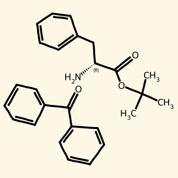 CC(C)(C)OC(=O)[C@H](N)Cc1ccccc1.O=C(c1ccccc1)c1ccccc1